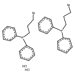 Cl.Cl.[Ni][CH2]CCP(c1ccccc1)c1ccccc1.[Ni][CH2]CCP(c1ccccc1)c1ccccc1